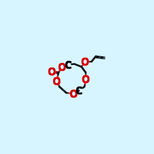 C=CCOC1CCOC(=O)OCCOCCOC1